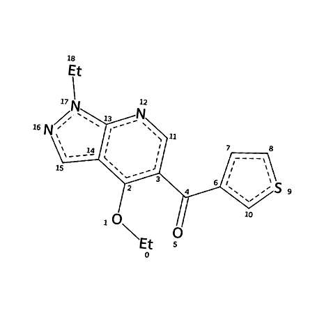 CCOc1c(C(=O)c2ccsc2)cnc2c1cnn2CC